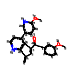 C=C1C=C(C(=O)c2cccc(OC)c2)c2c(-c3ccc(OC)nc3)ccnc21